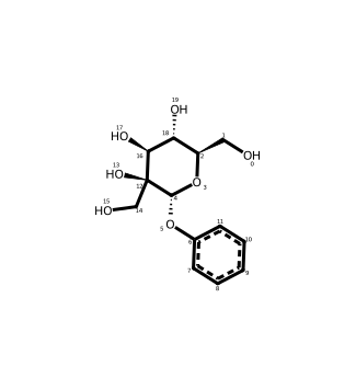 OC[C@H]1O[C@H](Oc2ccccc2)[C@](O)(CO)[C@@H](O)[C@@H]1O